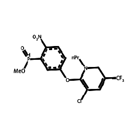 CCCN1CC(C(F)(F)F)=CC(Cl)=C1Oc1ccc([N+](=O)[O-])c([PH](=O)OC)c1